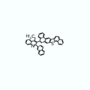 CCc1c(C2Cc3cc4sc5c6ccccc6ccc5c4cc3-c3ccccc32)c(-c2ccc3ccccc3c2)nc2ccccc12